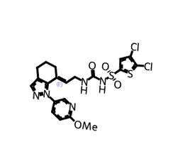 COc1ccc(-n2ncc3c2/C(=C/CNC(=O)NS(=O)(=O)c2cc(Cl)c(Cl)s2)CCC3)cn1